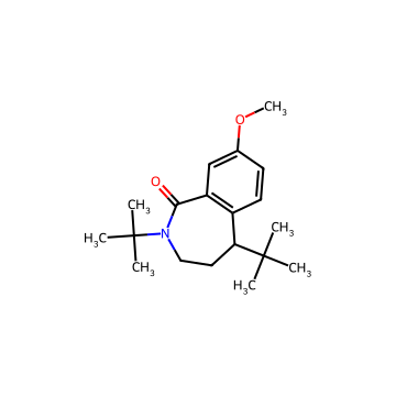 COc1ccc2c(c1)C(=O)N(C(C)(C)C)CCC2C(C)(C)C